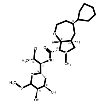 CSC1O[C@H]([C@H](NC(=O)[C@@H]2[C@@H]3OCC[C@@H](C4CCCCC4)C[C@H]3CN2C)[C@H](C)Cl)C[C@@H](O)[C@H]1O